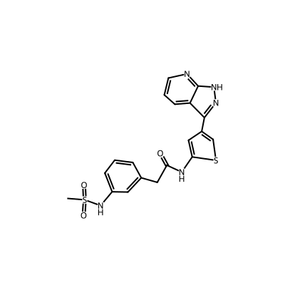 CS(=O)(=O)Nc1cccc(CC(=O)Nc2cc(-c3n[nH]c4ncccc34)cs2)c1